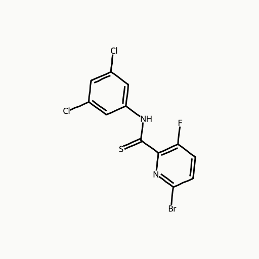 Fc1ccc(Br)nc1C(=S)Nc1cc(Cl)cc(Cl)c1